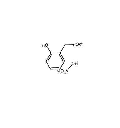 CCCCCCCCCc1ccccc1O.O=S(=O)(O)O